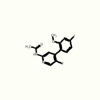 COc1cc(F)ccc1-c1cc(NC(C)=O)ncc1F